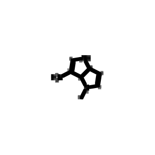 CN1C=CC2NC=C(N)C21